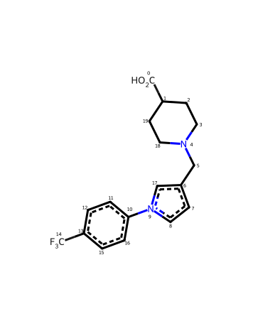 O=C(O)C1CCN(Cc2ccn(-c3ccc(C(F)(F)F)cc3)c2)CC1